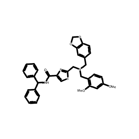 COc1ccc(CN(Cc2ccc3c(c2)OCO3)Cc2nc(C(=O)NC(c3ccccc3)c3ccccc3)cs2)c(OC)c1